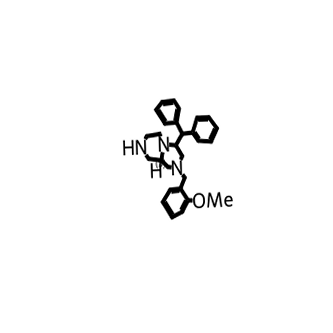 COc1ccccc1CN1CC(C(c2ccccc2)c2ccccc2)N2CCNC[C@H]2C1